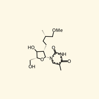 COC[C@@H](C)CC[C@H]1C(O)[C@@H](CO)O[C@H]1n1cc(C)c(=O)[nH]c1=O